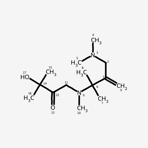 C=C(CN(C)C)C(C)(C)N(C)CC(=O)C(C)(C)O